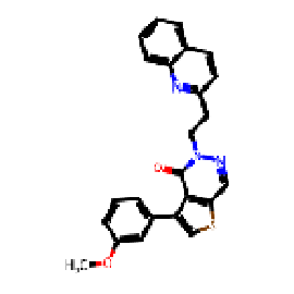 COc1cccc(-c2csc3cnn(CCc4ccc5ccccc5n4)c(=O)c23)c1